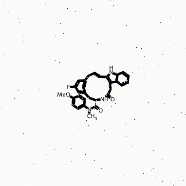 COc1ccc(N(C)C(=O)[C@@H]2Cc3cc(F)cc(c3)C/C=C/C3=C(CC(=O)N2)C2C=CC=CC2N3)cc1